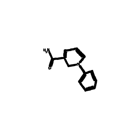 NC(=O)C1=CC=CN(c2ccccc2)C1